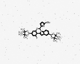 CC(C)(C)c1ccc(C2Oc3cc(B4OC(C)(C)C(C)(C)O4)cc(F)c3-c3cc4cc(B5OC(C)(C)C(C)(C)O5)ccc4n32)s1